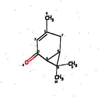 CC1=CC(=O)C2C(C1)C2(C)C